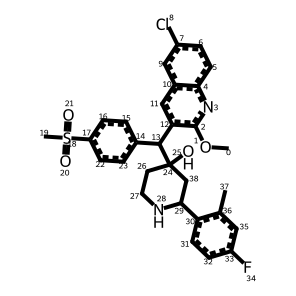 COc1nc2ccc(Cl)cc2cc1C(c1ccc(S(C)(=O)=O)cc1)C1(O)CCNC(c2ccc(F)cc2C)C1